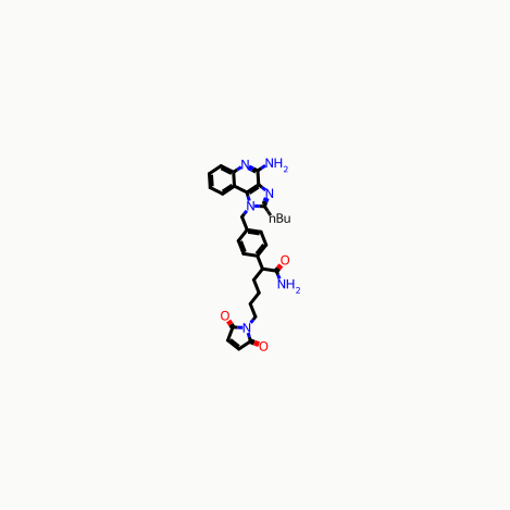 CCCCc1nc2c(N)nc3ccccc3c2n1Cc1ccc(C(CCCCN2C(=O)C=CC2=O)C(N)=O)cc1